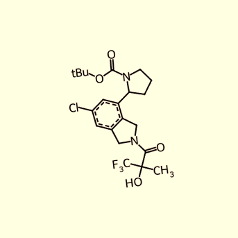 CC(C)(C)OC(=O)N1CCCC1c1cc(Cl)cc2c1CN(C(=O)C(C)(O)C(F)(F)F)C2